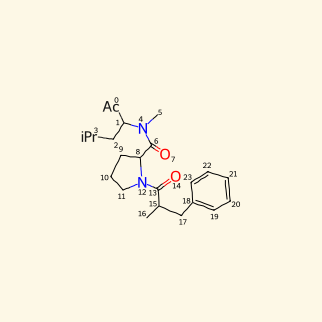 CC(=O)C(CC(C)C)N(C)C(=O)C1CCCN1C(=O)C(C)Cc1ccccc1